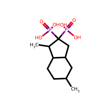 CC1CCC2C(C1)CC(P(=O)(O)O)(P(=O)(O)O)C2C